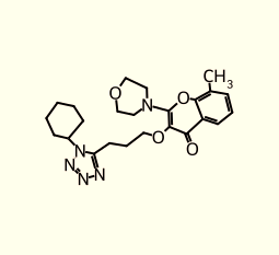 Cc1cccc2c(=O)c(OCCCc3nnnn3C3CCCCC3)c(N3CCOCC3)oc12